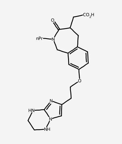 CCCN1Cc2cc(OCCc3cn4c(n3)NCCN4)ccc2CC(CC(=O)O)C1=O